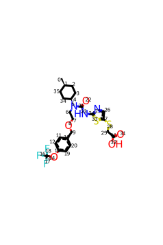 C[C@H]1CC[C@H](N(CCOCc2ccc(OC(F)(F)F)cc2)C(=O)Nc2ncc(SCC(=O)O)s2)CC1